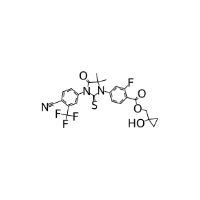 CC1(C)C(=O)N(c2ccc(C#N)c(C(F)(F)F)c2)C(=S)N1c1ccc(C(=O)OCC2(O)CC2)c(F)c1